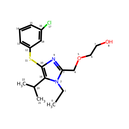 CCn1c(COCCO)nc(Sc2cccc(Cl)c2)c1C(C)C